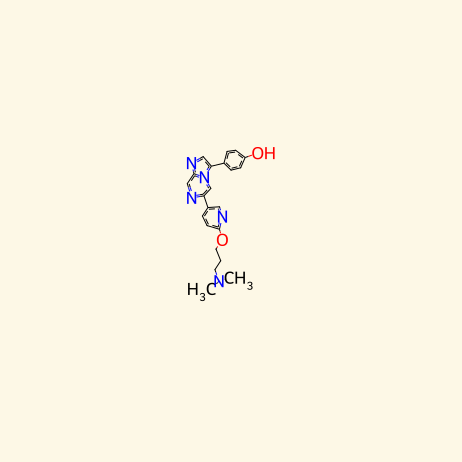 CN(C)CCCOc1ccc(-c2cn3c(-c4ccc(O)cc4)cnc3cn2)cn1